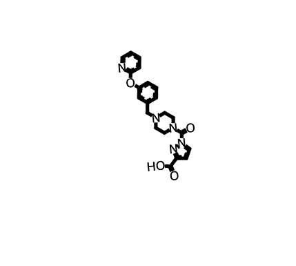 O=C(O)c1ccn(C(=O)N2CCN(Cc3cccc(Oc4ccccn4)c3)CC2)n1